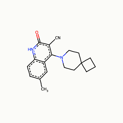 Cc1ccc2[nH]c(=O)c(C#N)c(N3CCC4(CCC4)CC3)c2c1